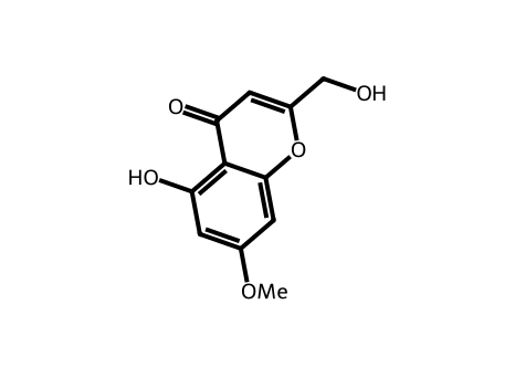 COc1cc(O)c2c(=O)cc(CO)oc2c1